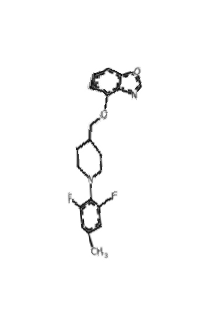 Cc1cc(F)c(N2CCC(COc3cccc4ocnc34)CC2)c(F)c1